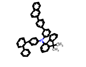 CC1(C)c2ccccc2-c2c(N(c3ccc(-c4ccccc4-c4ccccc4)cc3)c3cccc(-c4ccc(-c5ccc6ccccc6c5)cc4)c3)cccc21